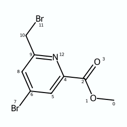 COC(=O)c1cc(Br)cc(CBr)n1